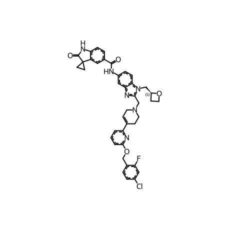 O=C(Nc1ccc2c(c1)nc(CN1CC=C(c3cccc(OCc4ccc(Cl)cc4F)n3)CC1)n2C[C@@H]1CCO1)c1ccc2c(c1)C1(CC1)C(=O)N2